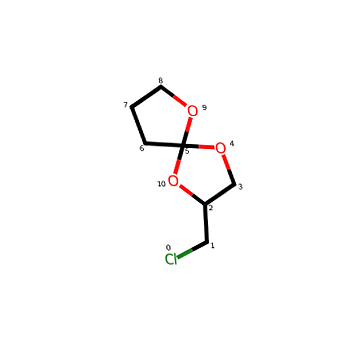 ClCC1COC2(CCCO2)O1